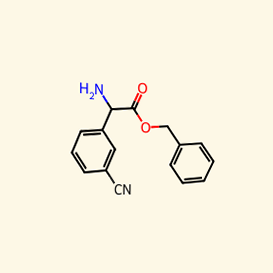 N#Cc1cccc(C(N)C(=O)OCc2ccccc2)c1